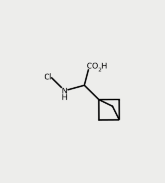 O=C(O)C(NCl)C12CC(C1)C2